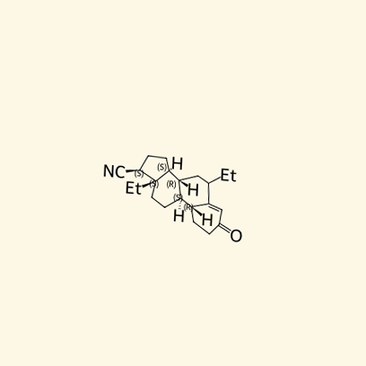 CCC1C[C@@H]2[C@H](CC[C@]3(CC)[C@@H](C#N)CC[C@@H]23)[C@H]2CCC(=O)C=C12